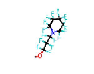 COC(F)(F)C(F)(F)C(F)(F)N1C(F)(F)C(F)(F)C(F)(F)C(F)(F)C1(F)F